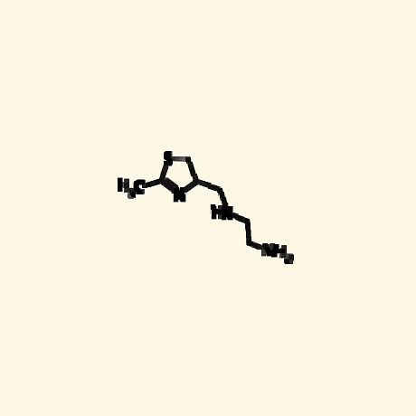 CC1=NC(CNCCN)CS1